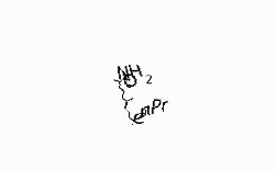 CCCC=C=C(C)CC/C=C(\C)CCCC(C)C(N)=O